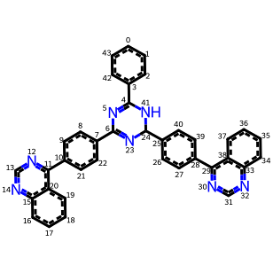 c1ccc(C2=NC(c3ccc(-c4ncnc5ccccc45)cc3)=NC(c3ccc(-c4ncnc5ccccc45)cc3)N2)cc1